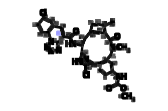 COC(=O)Nc1ccc2c(c1)CN(C)C(=O)c1cc(ccc1F)CC(NC(=O)/C=C/c1cc(Cl)ccc1-n1cnnn1)c1nc-2c(Cl)[nH]1